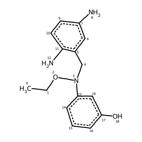 CCON(Cc1cc(N)ccc1N)c1cccc(O)c1